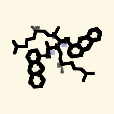 C/C(=N\c1cccc2cc3ccccc3cc12)N(CC[C@@H](C)CCCC(C)C)/C(=N\c1cccc2cc3ccccc3cc12)N(C)CC[C@@H](C)CCCC(C)C